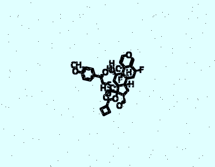 COc1ccc(C(=O)CSC(=O)[C@@]2(OC(=O)C3CCC3)[C@H](C=O)C[C@H]3[C@@H]4C[C@H](F)C5=COC=C[C@]5(C)[C@@]4(F)[C@@H](O)C[C@@]32C)cc1